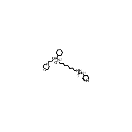 O=C(NCCCCCCCS(=O)(=O)N(OCCN1CCOCC1)C1CCCCC1)Nc1ccncc1